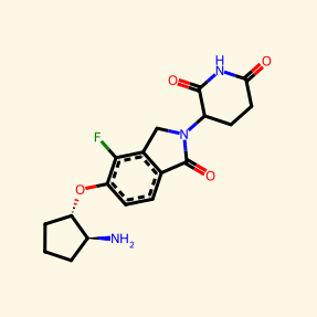 N[C@H]1CCC[C@@H]1Oc1ccc2c(c1F)CN(C1CCC(=O)NC1=O)C2=O